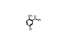 CCc1ccc(O)c(NC(C)C)c1